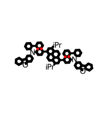 CC(C)c1cc(-c2ccc(N(c3ccc4oc5ccccc5c4c3)c3ccccc3-c3ccccc3)cc2)c2ccc3c(C(C)C)cc(-c4ccc(N(c5ccc6oc7ccccc7c6c5)c5ccccc5-c5ccccc5)cc4)c4ccc1c2c43